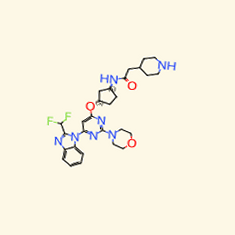 O=C(CC1CCNCC1)N[C@H]1CC[C@H](Oc2cc(-n3c(C(F)F)nc4ccccc43)nc(N3CCOCC3)n2)C1